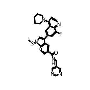 O=C(NCc1cncnc1)c1cnc2c(c1)c(-c1cc(F)c3nccc(N4CCCCC4)c3c1)cn2SI